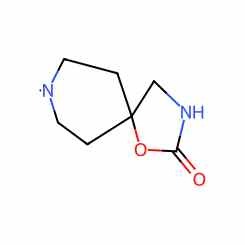 O=C1NCC2(CC[N]CC2)O1